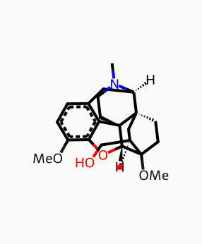 COc1ccc2c3c1O[C@H]1C4(OC)CC[C@@]5(C[C@]4(C)CO)[C@@H](C2)N(C)CC[C@]315